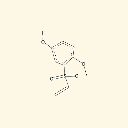 C=CS(=O)(=O)c1cc(OC)[c]cc1OC